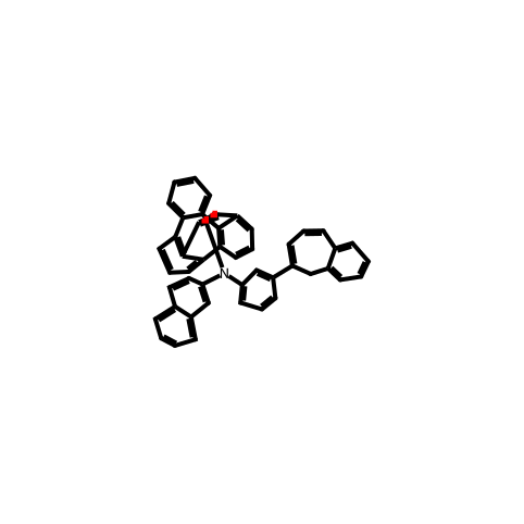 c1c(N(c2cccc(C3=CC=Cc4ccccc4C3)c2)c2ccc3ccccc3c2)cc2c(c#1)-c1cccc3c1-c1ccccc1-c1cccc-3c1-2